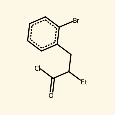 CCC(Cc1ccccc1Br)C(=O)Cl